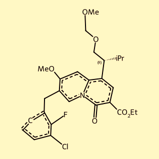 CCOC(=O)c1cc([C@H](COCOC)C(C)C)c2cc(OC)c(Cc3cccc(Cl)c3F)cn2c1=O